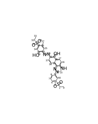 CCS(=O)(=O)c1cccc(/N=N/c2c(NC)ccc3c(O)c(/N=N/c4cc(C)c(S(=O)(=O)CC)cc4O)ccc23)c1